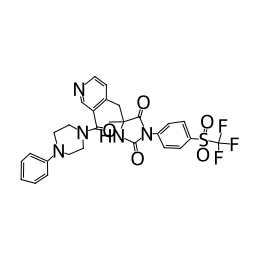 CC1(Cc2ccncc2C(=O)N2CCN(c3ccccc3)CC2)NC(=O)N(c2ccc(S(=O)(=O)C(F)(F)F)cc2)C1=O